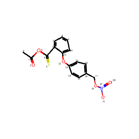 CC(=O)OC(=S)c1ccccc1Oc1ccc(CO[N+](=O)[O-])cc1